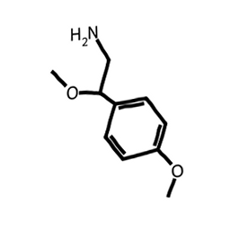 COc1ccc(C(CN)OC)cc1